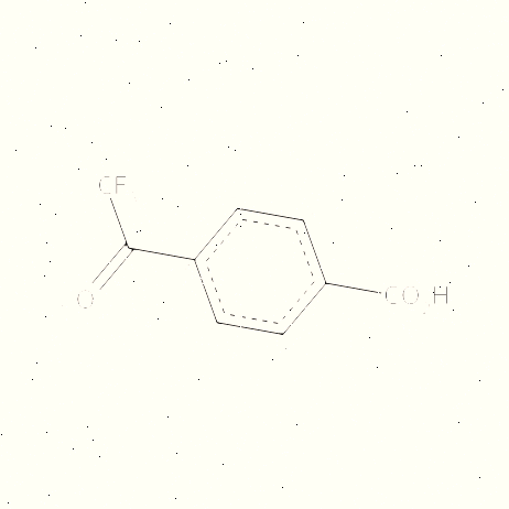 O=C(O)c1ccc(C(=O)C(F)(F)F)cc1